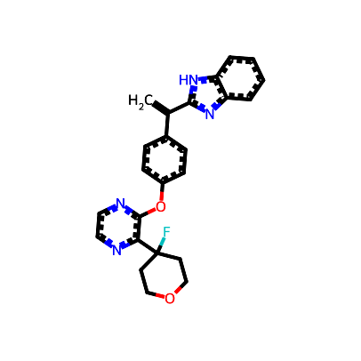 C=C(c1ccc(Oc2nccnc2C2(F)CCOCC2)cc1)c1nc2ccccc2[nH]1